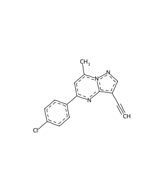 C#Cc1cnn2c(C)cc(-c3ccc(Cl)cc3)nc12